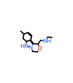 CCNCC1OCCN2NC3CC(C)C=CC3=C12